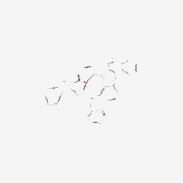 CC1(C)c2ccccc2-c2cc(-n3c4ccccc4c4ccc5c6c7ccccc7ccc6n(-c6ccccc6)c5c43)ccc21